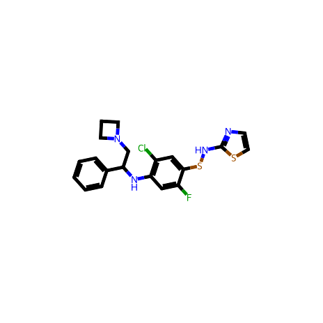 Fc1cc(NC(CN2CCC2)c2ccccc2)c(Cl)cc1SNc1nccs1